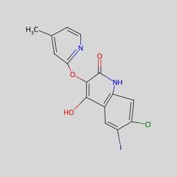 Cc1ccnc(Oc2c(O)c3cc(I)c(Cl)cc3[nH]c2=O)c1